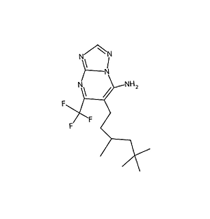 CC(CCc1c(C(F)(F)F)nc2ncnn2c1N)CC(C)(C)C